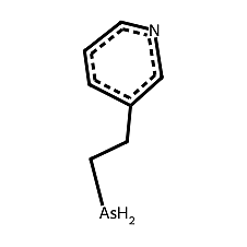 [AsH2]CCc1cccnc1